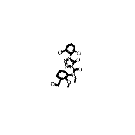 CCN(C(=O)n1nnn(-c2c(Cl)cccc2Cl)c1=O)c1cccc(C=O)c1OC